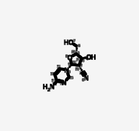 N#C[C@H]1[C@H](O)[C@@H](CO)O[C@H]1N1C=CC(N)=NC1